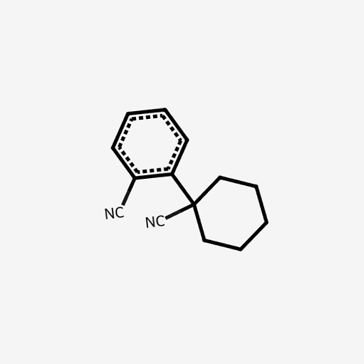 N#Cc1ccccc1C1(C#N)CCCCC1